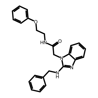 O=C(Cn1c(NCc2ccccc2)nc2ccccc21)NCCOc1ccccc1